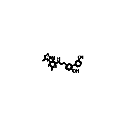 Cc1nc(NCCc2ccc(O)c(-c3cccc(C#N)c3)c2)c2nc3n(c2n1)C(C)CS3